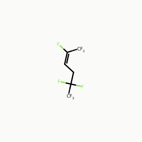 F/C(=C/CC(F)(F)C(F)(F)F)C(F)(F)F